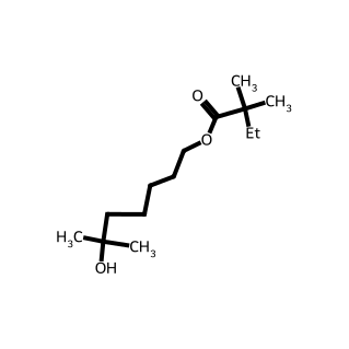 CCC(C)(C)C(=O)OCCCCCC(C)(C)O